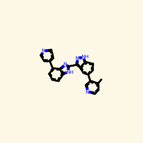 Cc1ccncc1-c1ccc2[nH]nc(-c3nc4c(-c5ccncc5)cccc4[nH]3)c2c1